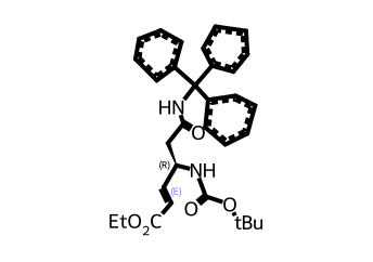 CCOC(=O)/C=C/[C@@H](CC(=O)NC(c1ccccc1)(c1ccccc1)c1ccccc1)NC(=O)OC(C)(C)C